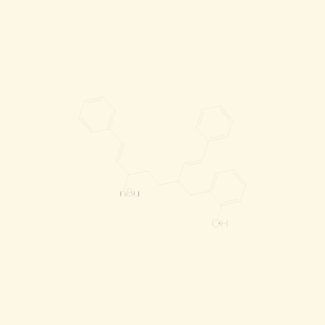 CCCCC(/C=C/c1ccccc1)CCC(/C=C/c1ccccc1)Cc1ccccc1O